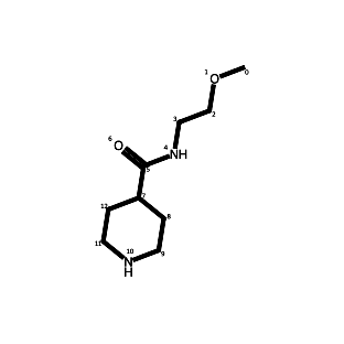 COCCNC(=O)C1CCNCC1